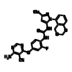 CC(C)(C)c1cc(NC(=O)Nc2ccc(Oc3ncnc(N)c3C#N)cc2F)n(-c2cccc3c2COCO3)n1